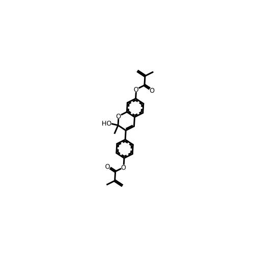 C=C(C)C(=O)Oc1ccc(C2=Cc3ccc(OC(=O)C(=C)C)cc3OC2(C)O)cc1